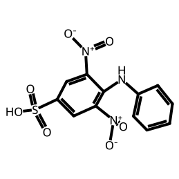 O=[N+]([O-])c1cc(S(=O)(=O)O)cc([N+](=O)[O-])c1Nc1ccccc1